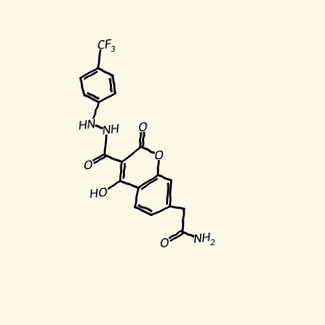 NC(=O)Cc1ccc2c(O)c(C(=O)NNc3ccc(C(F)(F)F)cc3)c(=O)oc2c1